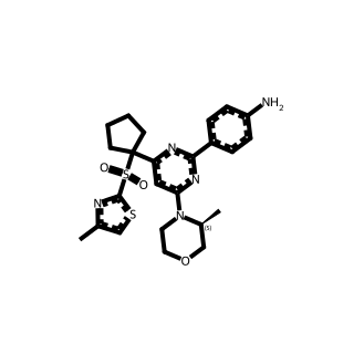 Cc1csc(S(=O)(=O)C2(c3cc(N4CCOC[C@@H]4C)nc(-c4ccc(N)cc4)n3)CCCC2)n1